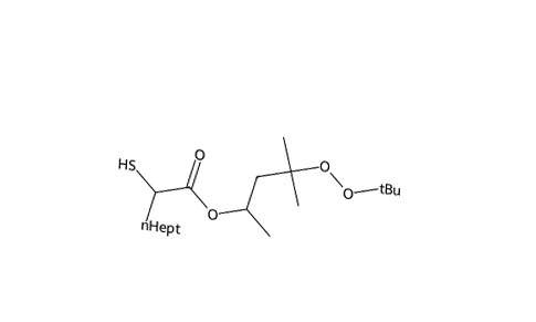 CCCCCCCC(S)C(=O)OC(C)CC(C)(C)OOC(C)(C)C